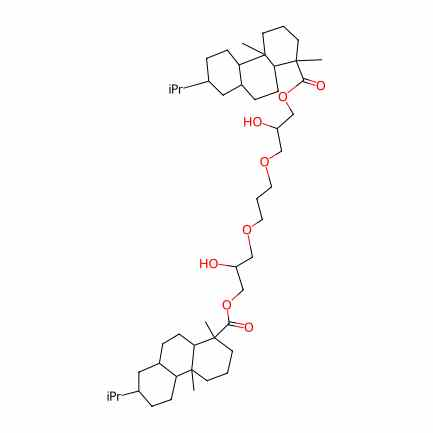 CC(C)C1CCC2C(CCC3C(C)(C(=O)OCC(O)COCCCOCC(O)COC(=O)C4(C)CCCC5(C)C6CCC(C(C)C)CC6CCC45)CCCC23C)C1